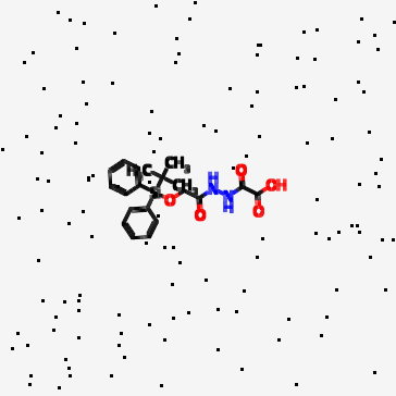 CC(C)(C)[Si](OCC(=O)NNC(=O)C(=O)O)(c1ccccc1)c1ccccc1